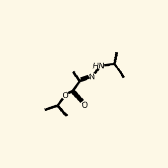 C/C(=N\NC(C)C)C(=O)OC(C)C